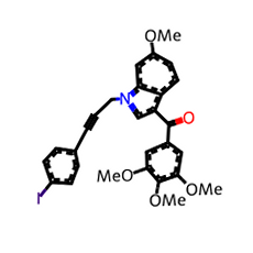 COc1ccc2c(C(=O)c3cc(OC)c(OC)c(OC)c3)cn(CC#Cc3ccc(I)cc3)c2c1